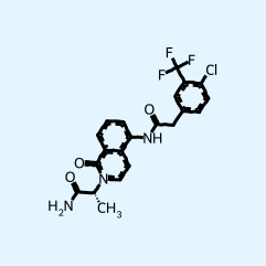 C[C@H](C(N)=O)n1ccc2c(NC(=O)Cc3ccc(Cl)c(C(F)(F)F)c3)cccc2c1=O